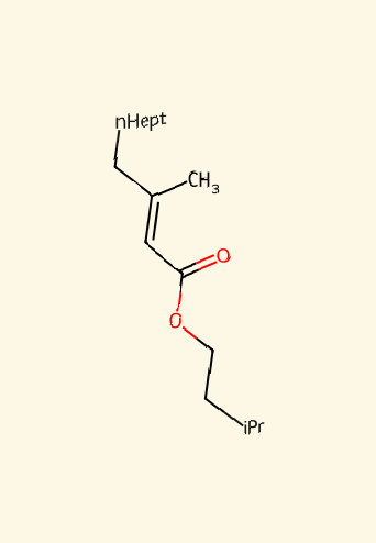 CCCCCCCC/C(C)=C/C(=O)OCCC(C)C